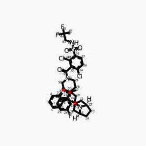 Cc1nc2ccccc2n1C1C[C@H]2CC[C@@H](C1)N2CCC1(c2cccc(F)c2)CCN(C(=O)c2c(Cl)ccc(S(=O)(=O)NCC(F)(F)F)c2Cl)CC1